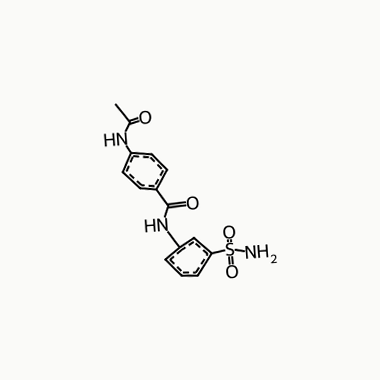 CC(=O)Nc1ccc(C(=O)Nc2cccc(S(N)(=O)=O)c2)cc1